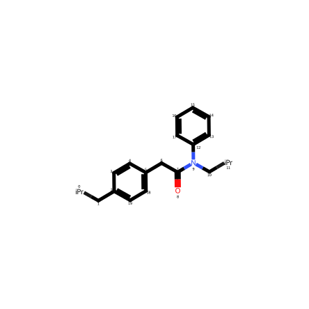 CC(C)Cc1ccc(CC(=O)N(CC(C)C)c2ccccc2)cc1